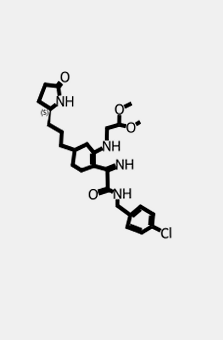 COC(CNC1=C(C(=N)C(=O)NCc2ccc(Cl)cc2)CCC(CCC[C@H]2CCC(=O)N2)C1)OC